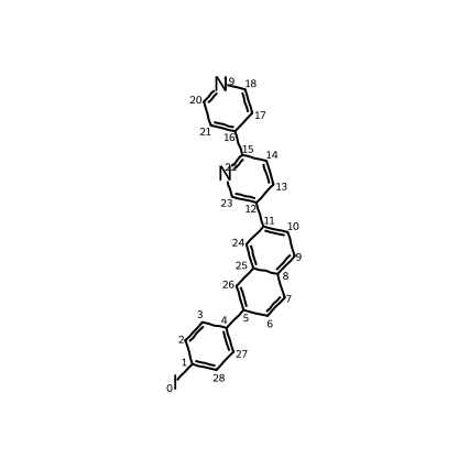 Ic1ccc(-c2ccc3ccc(-c4ccc(-c5ccncc5)nc4)cc3c2)cc1